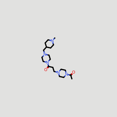 CC(=O)N1CCN(CCC(=O)N2CCN(CC3CCN(C)CC3)CC2)CC1